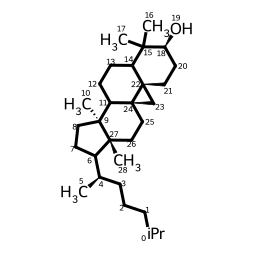 CC(C)CCC[C@@H](C)C1CC[C@@]2(C)C3CCC4C(C)(C)[C@@H](O)CC[C@]45C[C@@]35CC[C@]12C